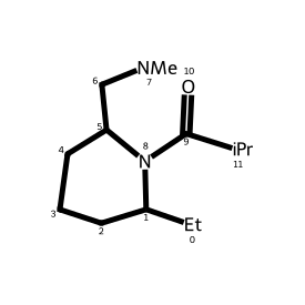 CCC1CCCC(CNC)N1C(=O)C(C)C